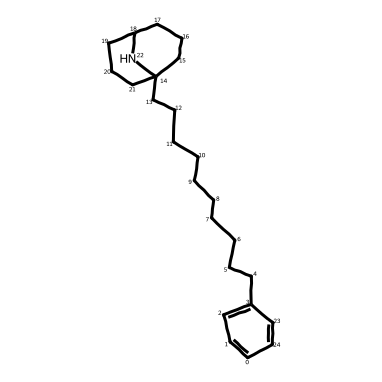 c1ccc(CCCCCCCCCCC23CCCC(CCC2)N3)cc1